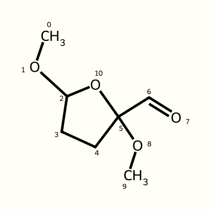 COC1CCC(C=O)(OC)O1